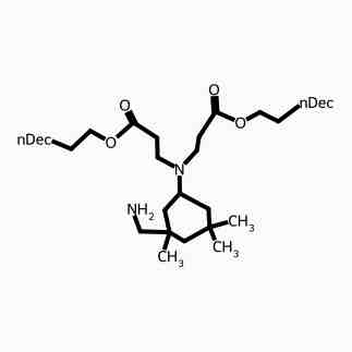 CCCCCCCCCCCCOC(=O)CCN(CCC(=O)OCCCCCCCCCCCC)C1CC(C)(C)CC(C)(CN)C1